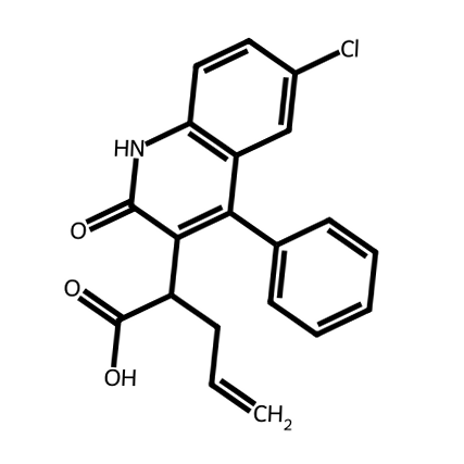 C=CCC(C(=O)O)c1c(-c2ccccc2)c2cc(Cl)ccc2[nH]c1=O